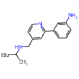 CC(NCc1ccnc(-c2cccc(N)c2)c1)C(C)(C)C